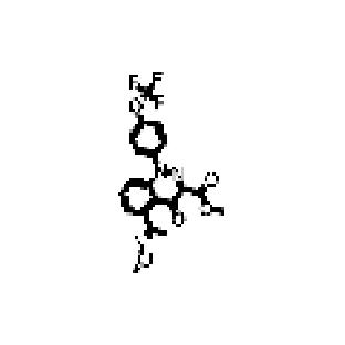 CO/N=C(\C)c1cccc2c1c(=O)c(C(=O)OC)nn2-c1ccc(OC(F)(F)F)cc1